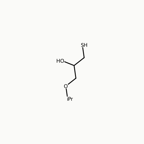 CC(C)OCC(O)CS